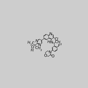 CC(Nc1c(Cl)cnc2ccc(-c3cnc(C(C)(C)O)nc3)cc12)c1cc(N2CCOCC2=O)ccc1F